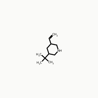 C=CC1CNCC(C(C)(C)C)C1